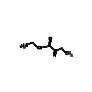 [CH2]COC(=O)NCC